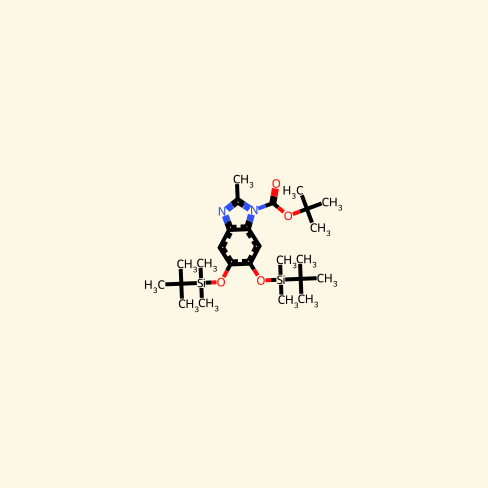 Cc1nc2cc(O[Si](C)(C)C(C)(C)C)c(O[Si](C)(C)C(C)(C)C)cc2n1C(=O)OC(C)(C)C